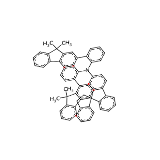 CC1(C)c2ccccc2-c2ccc(-c3ccccc3N(c3ccc4c(c3)C3(CCc5ccccc53)c3ccccc3-4)c3ccccc3-c3cccc4c3C(C)(C)c3ccccc3-4)cc21